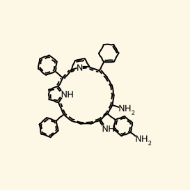 N=c1cccc(-c2ccccc2)c2ccc([nH]2)c(-c2ccccc2)c2nc(c(C3=CC=CCC3)cccc(N)c1-c1ccc(N)cc1)C=C2